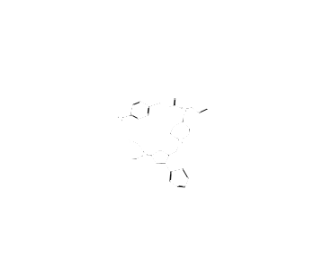 C=CCN(C(=O)OCc1ccc([N+](=O)[O-])cc1)C1CCN(CC2CC(N(CC(=O)O)CC(C)C)CC2c2ccccc2)CC1